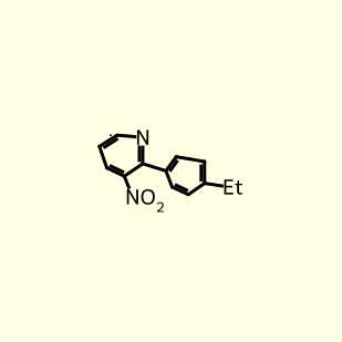 CCc1ccc(-c2n[c]ccc2[N+](=O)[O-])cc1